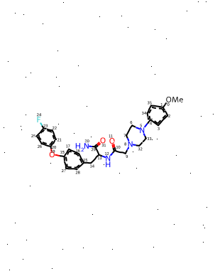 COc1ccc(N2CCN(CC(=O)NC(Cc3ccc(Oc4ccc(F)cc4)cc3)C(N)=O)CC2)cc1